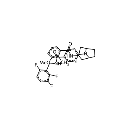 COc1cccc(C(=O)NC2CC3CCC(C2)N3c2ccc(C(=O)NCc3c(F)ccc(F)c3F)cn2)c1C